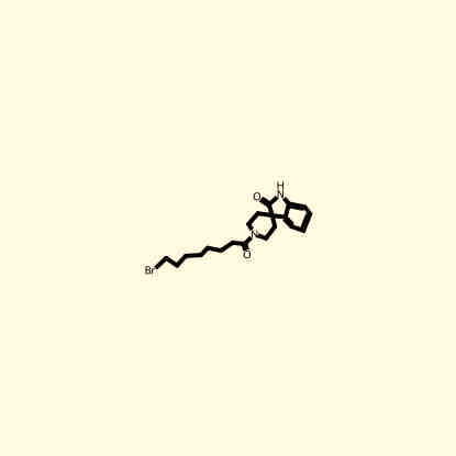 O=C(CCCCCCCBr)N1CCC2(CC1)C(=O)Nc1ccccc12